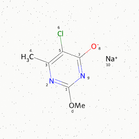 COc1nc(C)c(Cl)c([O-])n1.[Na+]